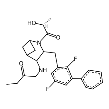 CCC(=O)CNC1C2CC(C2)N(C(=O)[C@@H](C)O)C1Cc1cc(F)cc(-c2ccccc2)c1F